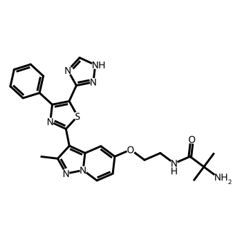 Cc1nn2ccc(OCCNC(=O)C(C)(C)N)cc2c1-c1nc(-c2ccccc2)c(-c2nc[nH]n2)s1